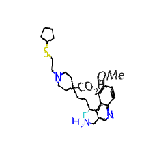 COc1ccc2ncc(CN)c([C@H](F)CCC3(C(=O)O)CCN(CCSC4CCCC4)CC3)c2c1